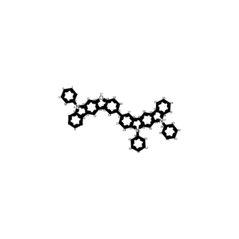 c1ccc(-n2c3ccccc3c3cc4c(cc32)oc2ccc(-c3ccc5c(c3)c3cc6c7ccccc7n(-c7ccccc7)c6cc3n5-c3ccccc3)cc24)cc1